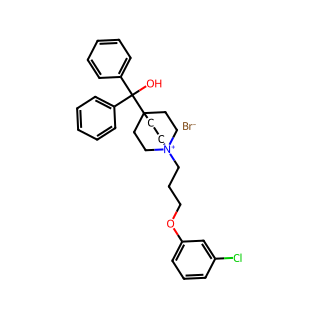 OC(c1ccccc1)(c1ccccc1)C12CC[N+](CCCOc3cccc(Cl)c3)(CC1)CC2.[Br-]